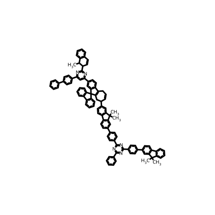 CC1c2ccccc2C=CC1c1nc(-c2ccc(-c3ccccc3)cc2)cc(-c2ccc3c(c2)C2(C4=C3CC=CC(c3ccc5c(c3)C(C)(C)c3cc(-c6ccc(-c7nc(-c8ccccc8)nc(-c8ccc(-c9ccc%10c(c9)C(C)(C)c9ccccc9-%10)cc8)n7)cc6)ccc3-5)C4)c3ccccc3-c3ccccc32)n1